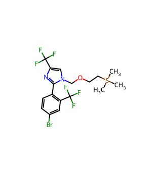 CS(C)(C)CCOCn1cc(C(F)(F)F)nc1-c1ccc(Br)cc1C(F)(F)F